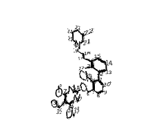 COc1nc(OCc2cccc(-c3cccc(CCCN4CCCCC4)c3C)c2Cl)nc(OC)c1C=O